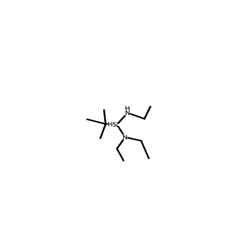 CCN[SiH](N(CC)CC)C(C)(C)C